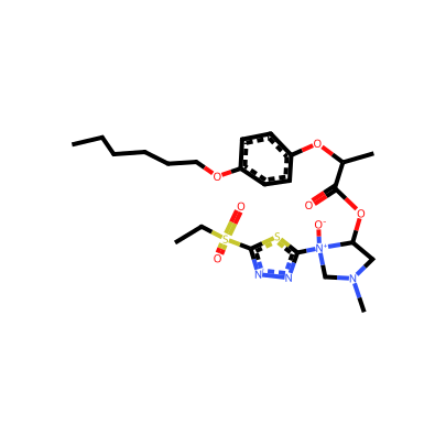 CCCCCCOc1ccc(OC(C)C(=O)OC2CN(C)C[N+]2([O-])c2nnc(S(=O)(=O)CC)s2)cc1